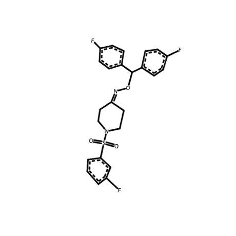 O=S(=O)(c1cccc(F)c1)N1CCC(=NOC(c2ccc(F)cc2)c2ccc(F)cc2)CC1